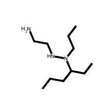 [CH2]CCC(CC)N(CCC)NCCN